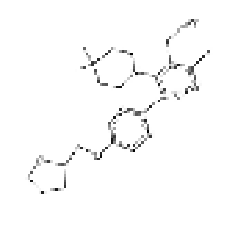 Cc1ncc(-c2ccc(OCC3CCCO3)cn2)c(N2CCC(C)(C)CC2)c1CC(C)C